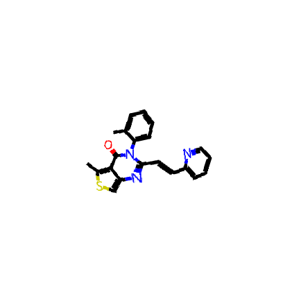 Cc1ccccc1-n1c(C=Cc2ccccn2)nc2csc(C)c2c1=O